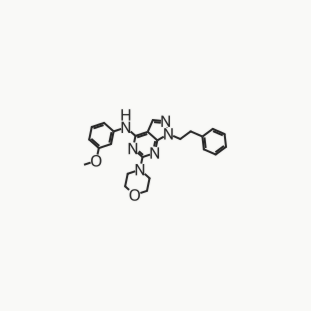 COc1cccc(Nc2nc(N3CCOCC3)nc3c2cnn3CCc2ccccc2)c1